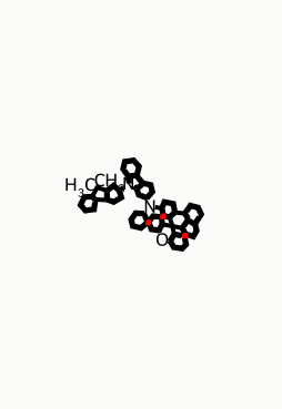 CC1(C)c2ccccc2-c2ccc(-n3c4ccccc4c4ccc(N(c5ccccc5)c5ccc6c(c5)C5(c7ccccc7Oc7ccccc75)c5cccc7cccc-6c57)cc43)cc21